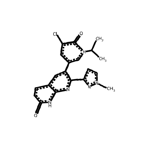 CC(C)n1cc(-c2cc3ccc(=O)[nH]c3nc2-c2ccn(C)n2)cc(Cl)c1=O